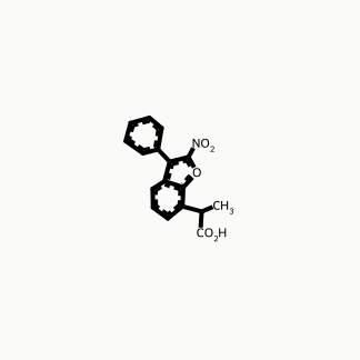 CC(C(=O)O)c1cccc2c(-c3ccccc3)c([N+](=O)[O-])oc12